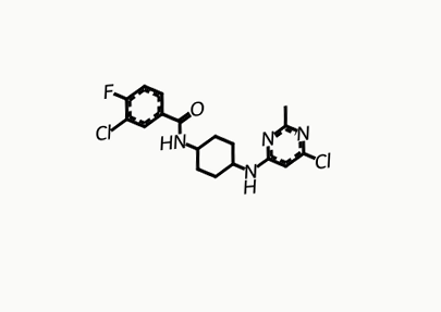 Cc1nc(Cl)cc(NC2CCC(NC(=O)c3ccc(F)c(Cl)c3)CC2)n1